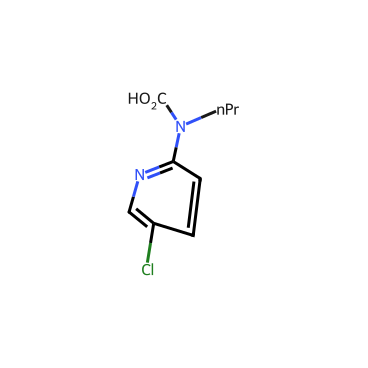 CCCN(C(=O)O)c1ccc(Cl)cn1